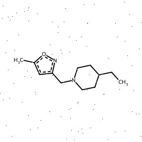 CCC1CCN(Cc2cc(C)on2)CC1